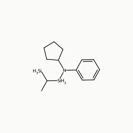 CC([SiH3])[SiH2]N(c1ccccc1)C1CCCC1